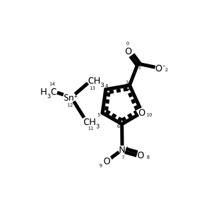 O=C([O-])c1ccc([N+](=O)[O-])o1.[CH3][Sn+]([CH3])[CH3]